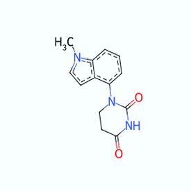 Cn1ccc2c(N3CCC(=O)NC3=O)cccc21